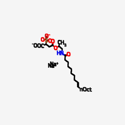 CCCCCCCC/C=C/CCCCCCCC(=O)NCC(C)OC(=O)CC(C(=O)[O-])S(=O)(=O)[O-].[Na+].[Na+]